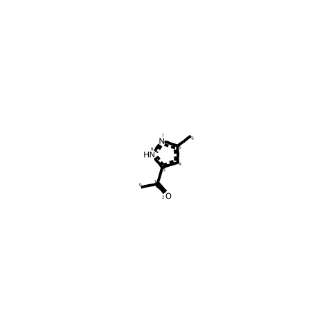 CC(=O)c1cc(C)n[nH]1